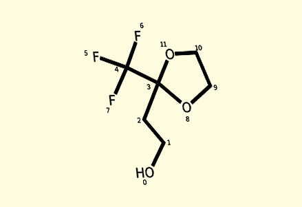 OCCC1(C(F)(F)F)OCCO1